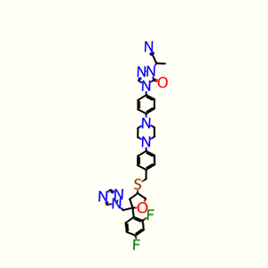 CC(C#N)n1ncn(-c2ccc(N3CCN(c4ccc(CSC5COC(Cn6cncn6)(c6ccc(F)cc6F)C5)cc4)CC3)cc2)c1=O